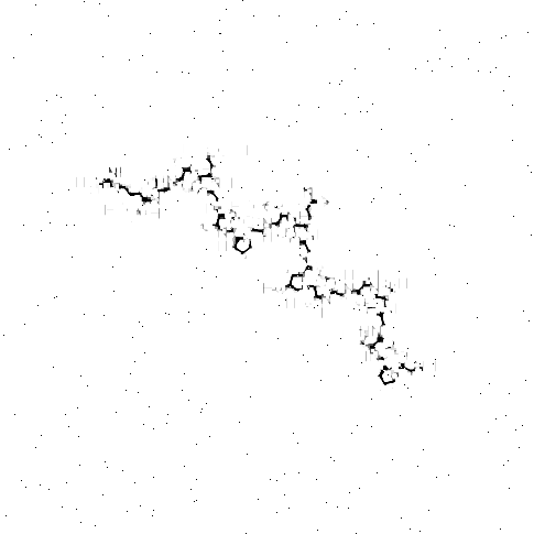 C[C@H](NC(=O)[C@H](CO)NC(=O)CNC(=O)[C@H](CO)NC(=O)[C@@H]1CCCN1C(=O)CN)C(=O)NCC(=O)N[C@@H](C)C(=O)N1C[C@H](O)C[C@H]1C(=O)NCC(=O)N[C@@H](CCC(N)=O)C(=O)N[C@@H](CC(=O)O)C(=O)NCC(=O)N1CCC[C@H]1C(=O)N[C@@H](C)C(=O)NCC(=O)N[C@@H](CCC(=O)O)C(=O)N[C@@H](C)C(=O)NCC(=O)N[C@@H](CCCNC(=N)N)C(=O)O